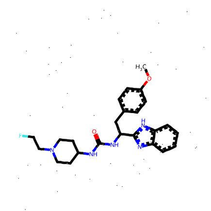 COc1ccc(CC(NC(=O)NC2CCN(CCF)CC2)c2nc3ccccc3[nH]2)cc1